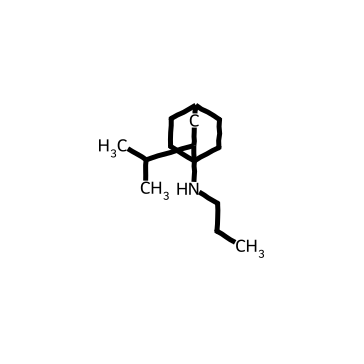 CCCNC12CCC(CC1)CC2C(C)C